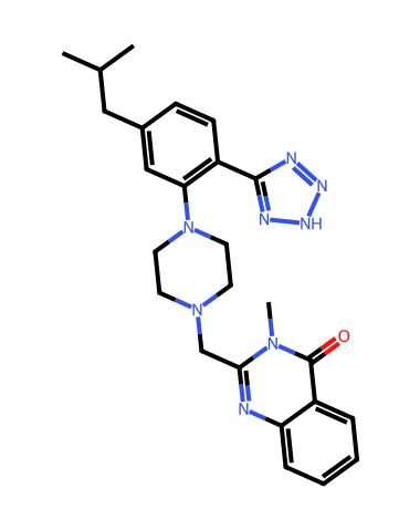 CC(C)Cc1ccc(-c2nn[nH]n2)c(N2CCN(Cc3nc4ccccc4c(=O)n3C)CC2)c1